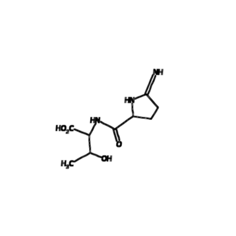 CC(O)C(NC(=O)C1CCC(=N)N1)C(=O)O